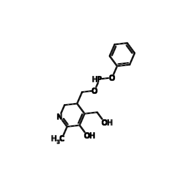 CC1=NCC(COPOc2ccccc2)C(CO)=C1O